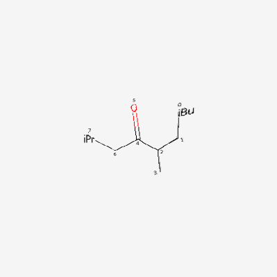 CCC(C)CC(C)C(=O)CC(C)C